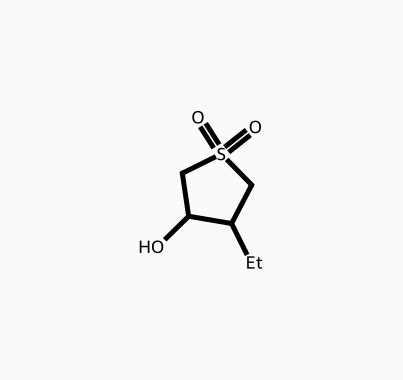 CCC1CS(=O)(=O)CC1O